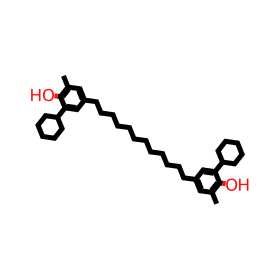 Cc1cc(CCCCCCCCCCCCc2cc(C)c(O)c(C3CCCCC3)c2)cc(C2CCCCC2)c1O